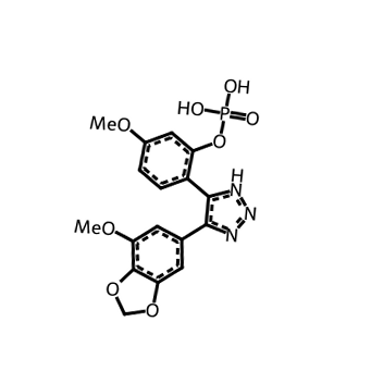 COc1ccc(-c2[nH]nnc2-c2cc(OC)c3c(c2)OCO3)c(OP(=O)(O)O)c1